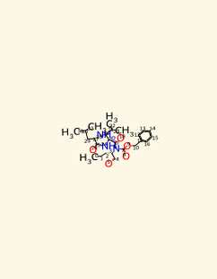 CCC[C@@H](C=O)N(C(=O)OCc1ccccc1)C(=O)[C@H](CC(C)C)NC(=O)[C@@H](N)CC(C)C